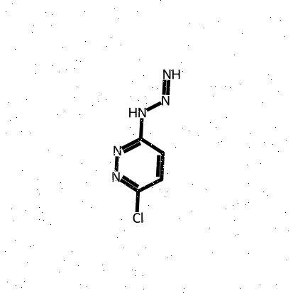 N=NNc1ccc(Cl)nn1